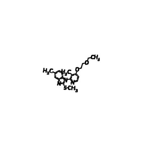 CCOCCOc1ccnc(-n2c(SC)nc3cc(C)ccc32)c1C